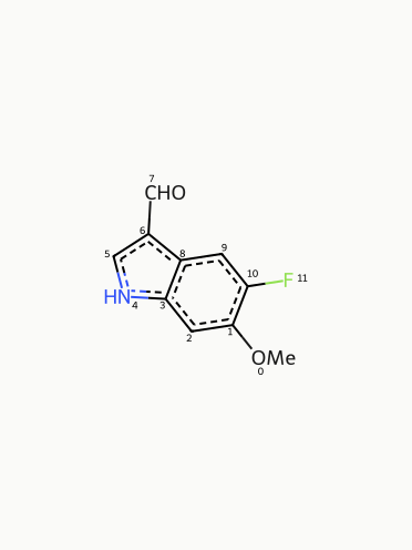 COc1cc2[nH]cc(C=O)c2cc1F